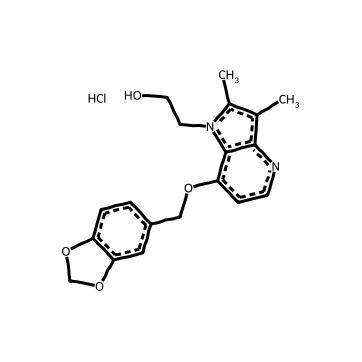 Cc1c(C)n(CCO)c2c(OCc3ccc4c(c3)OCO4)ccnc12.Cl